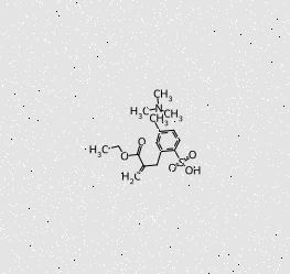 C=C(Cc1cc(C)ccc1S(=O)(=O)O)C(=O)OCC.CN(C)C